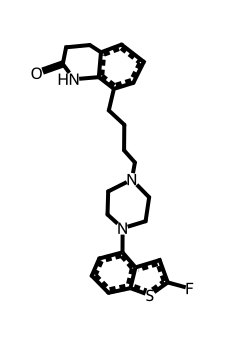 O=C1CCc2cccc(CCCCN3CCN(c4cccc5sc(F)cc45)CC3)c2N1